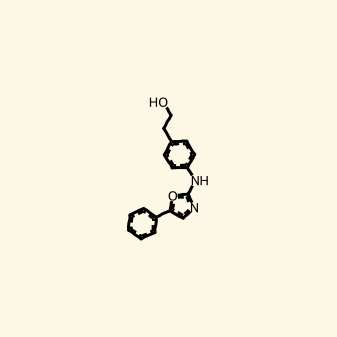 OCCc1ccc(Nc2ncc(-c3ccccc3)o2)cc1